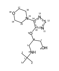 CC(C)(C)NCC(CO)Oc1nsnc1N1CCOCC1